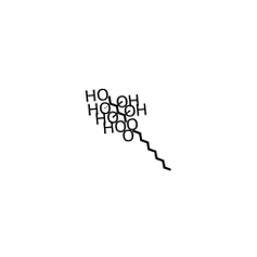 CCCCCCCCCC(=O)OC(O)[C@H](O)[C@@H](O)[C@H](O)[C@H](O)CO